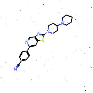 N#Cc1ccc(-c2cc3sc(N4CCC(N5CCCCC5)CC4)nc3cn2)cc1